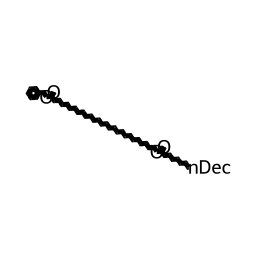 CCCCCCCCCCCCCCCCCC(=O)OCCCCCCCCCCCCCCCCCCCCCCCCCCC(=O)OCc1ccccc1